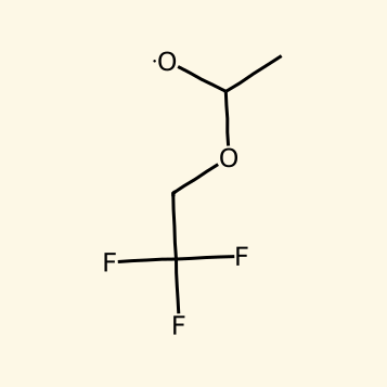 CC([O])OCC(F)(F)F